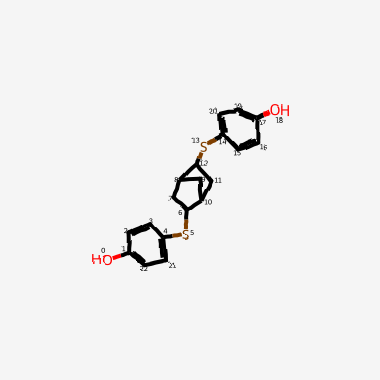 Oc1ccc(SC2CC3CC2CC3Sc2ccc(O)cc2)cc1